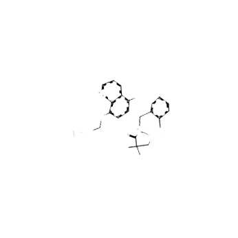 CC1(C)CON(Cc2ccccc2Cl)C1=O.O=C(O)COc1ccc(Cl)c2cccnc12